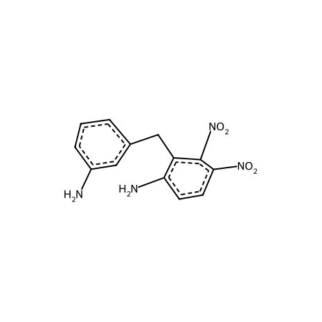 Nc1cccc(Cc2c(N)ccc([N+](=O)[O-])c2[N+](=O)[O-])c1